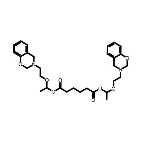 CC(OCCN1COc2ccccc2C1)OC(=O)CCCCC(=O)OC(C)OCCN1COc2ccccc2C1